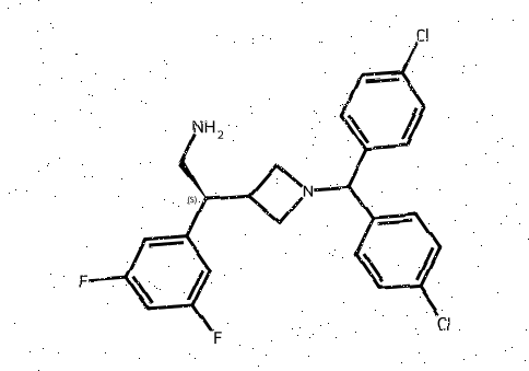 NC[C@H](c1cc(F)cc(F)c1)C1CN(C(c2ccc(Cl)cc2)c2ccc(Cl)cc2)C1